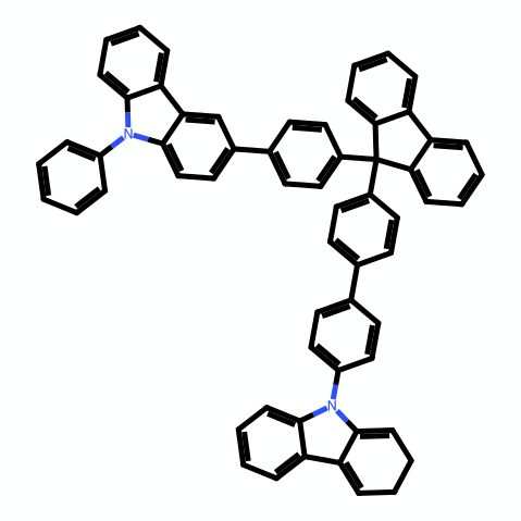 C1=c2c(n(-c3ccc(-c4ccc(C5(c6ccc(-c7ccc8c(c7)c7ccccc7n8-c7ccccc7)cc6)c6ccccc6-c6ccccc65)cc4)cc3)c3ccccc23)=CCC1